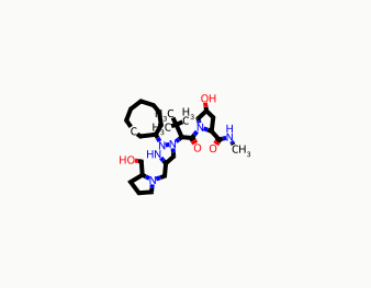 CNC(=O)C1CC(O)CN1C(=O)C(N1CC(CN2CCCC2CO)NN1C1CCCCCCCC1)C(C)(C)C